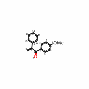 C=C(C(=O)c1ccc(OC)cc1)c1ccccc1